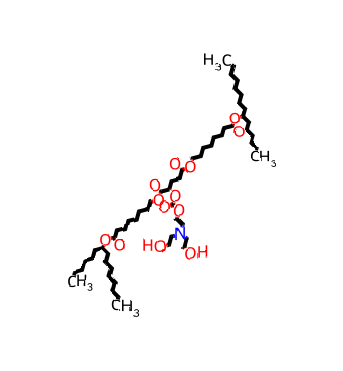 CCCCCCCCC(CCCCCC)OC(=O)CCCCCCCOC(=O)CCC(OC(=O)OCCN(CCO)CCO)C(=O)OCCCCCCCC(=O)OC(CCCCCC)CCCCCCCC